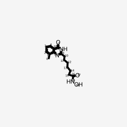 Cc1cccc2c(=O)[nH]c(CCCCCCC(=O)NO)nc12